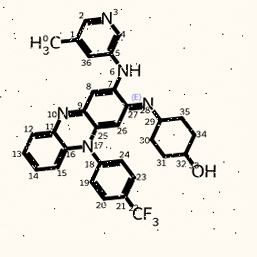 Cc1cncc(Nc2cc3nc4ccccc4n(-c4ccc(C(F)(F)F)cc4)c-3c/c2=N\C2CCC(O)CC2)c1